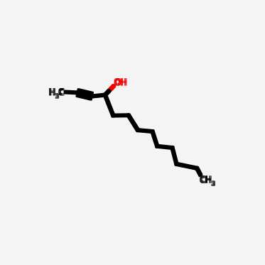 CC#CC(O)CCCCCCCCC